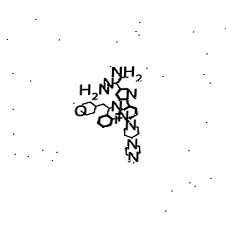 C/C(N)=C(\c1cnc2c3ccc(N4CCC(N5CCN(C)CC5)CC4)nc3n(C(CC3CCOCC3)c3ccccc3F)c2c1)N(C)N